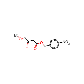 CCOCC(=O)CC(=O)OCc1ccc([N+](=O)[O-])cc1